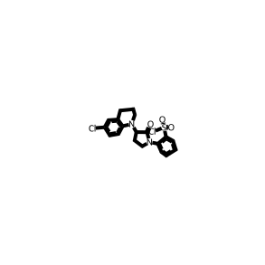 O=C1C(N2CCCc3cc(Cl)ccc32)CCN1c1ccccc1S(=O)(=O)Cl